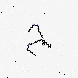 CCCCC/C=C\C/C=C\CCCCCCCCC(C)(CCCCCCCC/C=C\C/C=C\CCCCC)CC(=O)CCCN(C)C